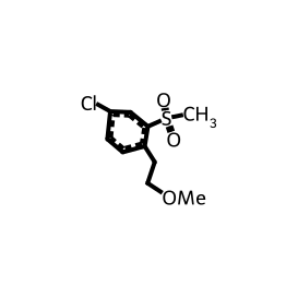 COCCc1ccc(Cl)cc1S(C)(=O)=O